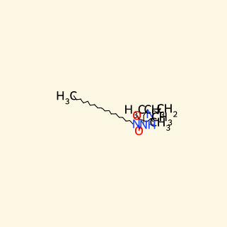 C=CCN1C(C)(C)CC2(CC1(C)C)NC(=O)N(CCCCCCCCCCCCCCCCCC)C2=O